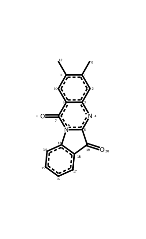 Cc1cc2nc3n(c(=O)c2cc1C)-c1ccccc1C3=O